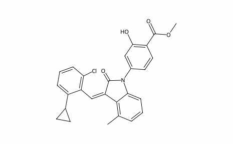 COC(=O)c1ccc(N2C(=O)C(=Cc3c(Cl)cccc3C3CC3)c3c(C)cccc32)cc1O